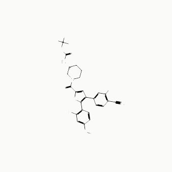 COc1ccc(-c2sc(C(=O)N3CCC[C@@H](NC(=O)OC(C)(C)C)C3)cc2-c2ccc(C#N)c(F)c2)c(F)c1